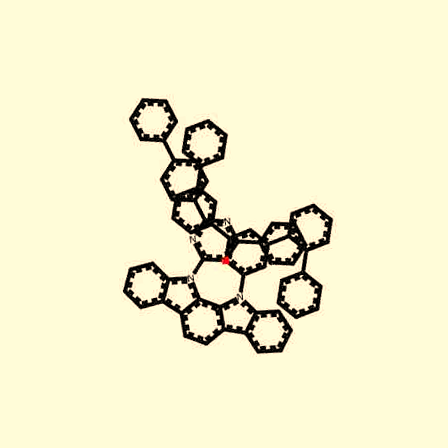 c1ccc(-c2ccc(-c3nc(-c4ccccc4)nc(-n4c5ccccc5c5ccc6c7ccccc7n(-c7cc(-c8cccc(-c9ccccc9)c8)cc(-c8ccccc8-c8ccccc8)c7)c6c54)n3)cc2)cc1